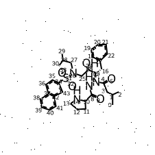 CC(C)CC(=O)N(NC(=O)C1CCCN1)[C@@H](Cc1ccccc1)[C@H](O)CN(CC(C)C)S(=O)(=O)c1ccc2ccccc2c1